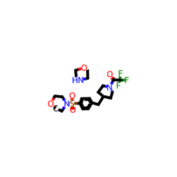 C1COCCN1.O=C(N1CCC(Cc2ccc(S(=O)(=O)N3CCOCC3)cc2)CC1)C(F)(F)F